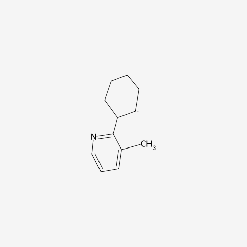 Cc1cccnc1C1[CH]CCCC1